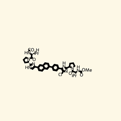 COC(=O)N[C@H](C(=O)N1CCCC1c1nc(Cl)c(-c2ccc(-c3ccc4cc(-c5c[nH]c([C@@H]6CCCN6C(=O)[C@@H](NC(=O)O)C(C)C)n5)ccc4c3)cc2)[nH]1)C(C)C